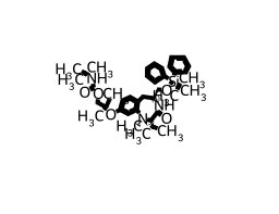 CCC(C)(COC(=O)NC(C)(C)C)Oc1ccc2c(c1)N(C)[C@@H](C(C)C)C(=O)N[C@H](CO[Si](c1ccccc1)(c1ccccc1)C(C)(C)C)C2